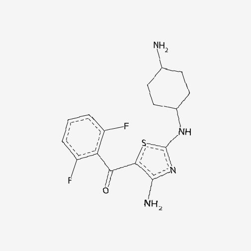 Nc1nc(NC2CCC(N)CC2)sc1C(=O)c1c(F)cccc1F